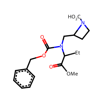 CCC(C(=O)OC)N(CC1CCN1C(=O)O)C(=O)OCc1ccccc1